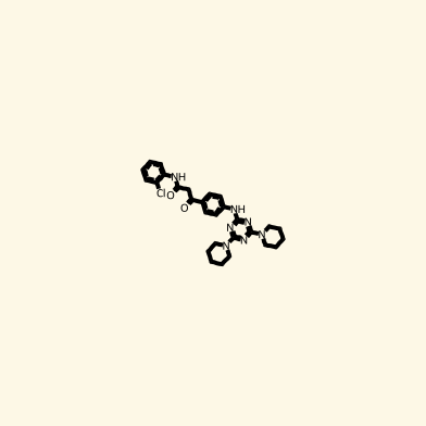 O=C(CC(=O)c1ccc(Nc2nc(N3CCCCC3)nc(N3CCCCC3)n2)cc1)Nc1ccccc1Cl